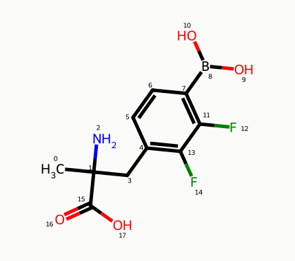 CC(N)(Cc1ccc(B(O)O)c(F)c1F)C(=O)O